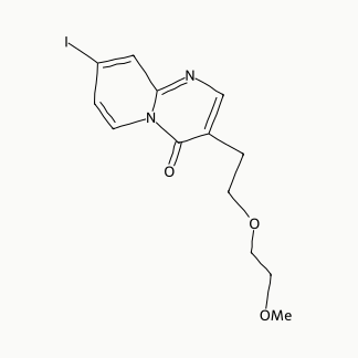 COCCOCCc1cnc2cc(I)ccn2c1=O